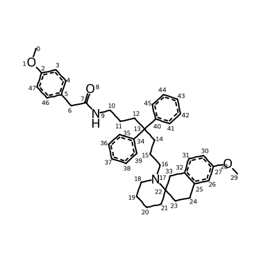 COc1ccc(CC(=O)NCCCC(CCCN2CCCCC23CCc2cc(OC)ccc2C3)(c2ccccc2)c2ccccc2)cc1